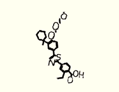 CCc1cc(-c2ncc(-c3ccc(OCOCCOC)c(C4(C)CCCCC4)c3)s2)ccc1C(=O)O